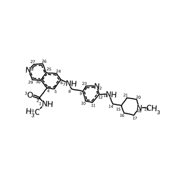 CNC(=O)c1cc(NCc2ccc(NCC3CCN(C)CC3)nc2)cc2ccncc12